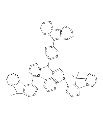 CC1(C)c2ccccc2-c2c(-c3cccc(N(c4ccc(-c5cccc6c5C(C)(C)c5ccccc5-6)cc4)c4ccc(-n5c6ccccc6c6ccccc65)cc4)c3-c3ccccc3)cccc21